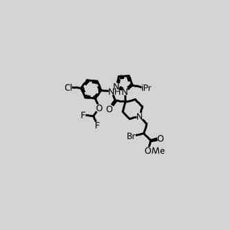 COC(=O)C(Br)CN1CCC(C(=O)Nc2ccc(Cl)cc2OC(F)F)(n2nccc2C(C)C)CC1